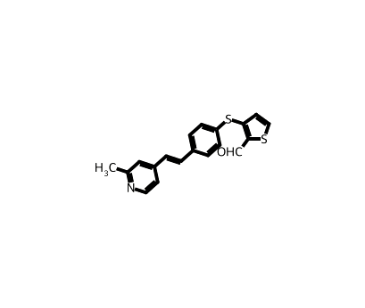 Cc1cc(/C=C/c2ccc(Sc3ccsc3C=O)cc2)ccn1